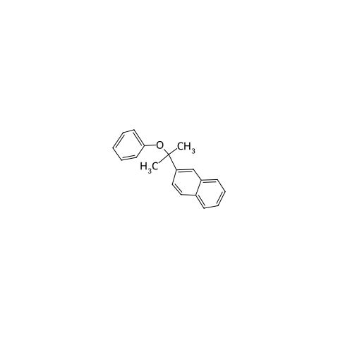 CC(C)(Oc1ccccc1)c1ccc2ccccc2c1